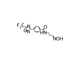 O=C(NCCC=NO)c1ccc(-c2noc(C(F)(F)F)n2)cc1